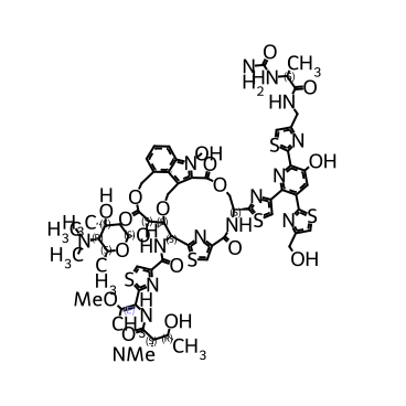 CN[C@H](C(=O)N/C(=C(\C)OC)c1nc(C(=O)N[C@@H]2c3nc(cs3)C(=O)N[C@H](c3nc(-c4nc(-c5nc(CNC(=O)[C@H](C)NC(N)=O)cs5)c(O)cc4-c4nc(CO)cs4)cs3)COC(=O)c3c4c5c(cccc5n3O)COC(=O)[C@@H](O[C@H]3C[C@](C)(O)[C@H](N(C)C)[C@H](C)O3)[C@H]2OC4)cs1)[C@@H](C)O